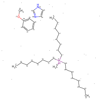 CCCCCCCC[PH](C)(CCCCCCCC)CCCCCCCC.COc1ccccc1.c1c[nH]cn1